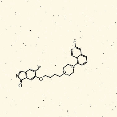 O=C1N=Cc2cc(F)c(OCCCCN3CCN(c4cccc5cc(F)ccc45)CC3)cc21